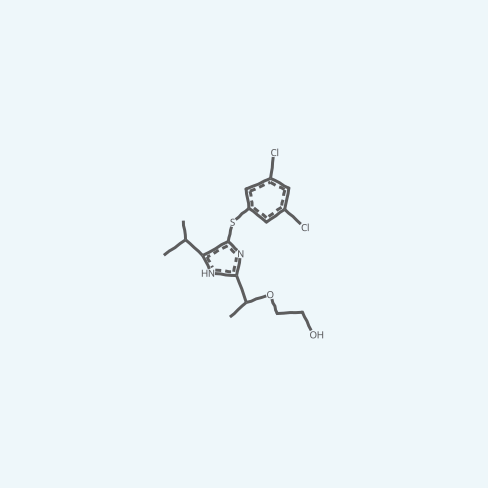 CC(C)c1[nH]c(C(C)OCCO)nc1Sc1cc(Cl)cc(Cl)c1